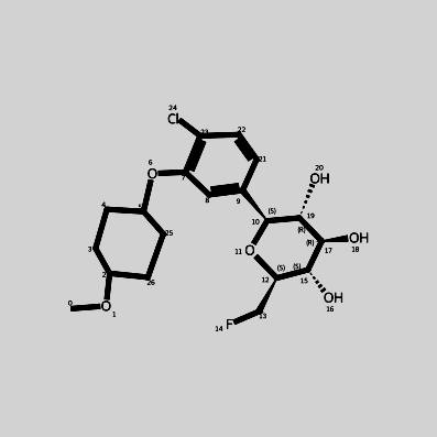 COC1CCC(Oc2cc([C@@H]3O[C@H](CF)[C@@H](O)[C@H](O)[C@H]3O)ccc2Cl)CC1